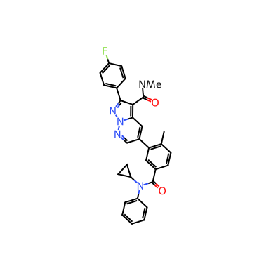 CNC(=O)c1c(-c2ccc(F)cc2)nn2ncc(-c3cc(C(=O)N(c4ccccc4)C4CC4)ccc3C)cc12